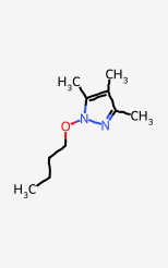 CCCCOn1nc(C)c(C)c1C